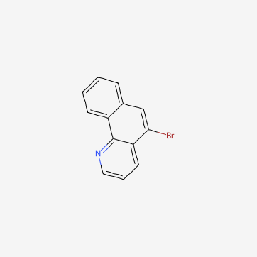 Brc1cc2ccccc2c2ncccc12